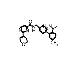 C[C@H](N)c1ccc(C(F)(F)F)cc1-c1ccc([C@@H](C)NC(=O)c2ccnc(C3=CCOCC3)n2)cc1